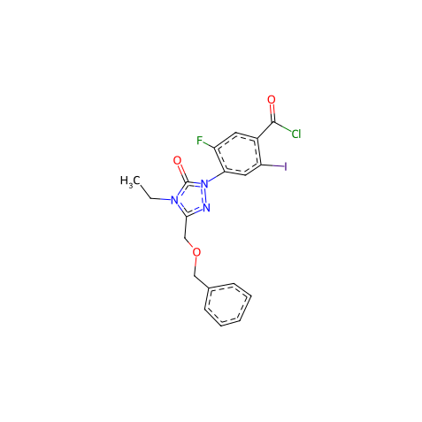 CCn1c(COCc2ccccc2)nn(-c2cc(I)c(C(=O)Cl)cc2F)c1=O